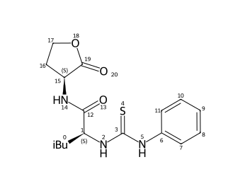 CCC(C)[C@H](NC(=S)Nc1ccccc1)C(=O)N[C@H]1CCOC1=O